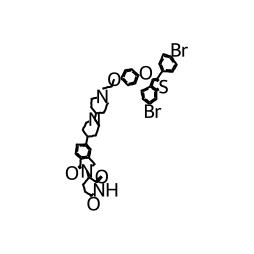 O=C1CCC(N2Cc3cc(C4CCN(C5CCN(CCOc6ccc(Oc7c(-c8ccc(Br)cc8)sc8cc(Br)ccc78)cc6)CC5)CC4)ccc3C2=O)C(=O)N1